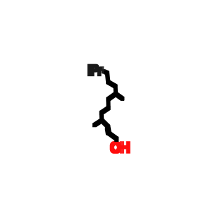 CC(C)CCCC(C)CCCC(C)C=CCO